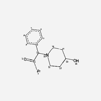 CC(C)C(=O)C(c1ccccc1)N1CCC(O)CC1